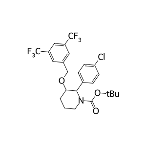 CC(C)(C)OC(=O)N1CCCC(OCc2cc(C(F)(F)F)cc(C(F)(F)F)c2)C1c1ccc(Cl)cc1